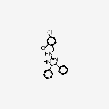 Clc1ccc(CNC2=N[C@H](c3ccccc3)[C@@H](c3ccccc3)N2)c(Cl)c1